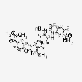 CCCCN(C(=O)Nc1cc(C(N)=O)c(F)cc1F)C1CCN(Cc2ccc(Oc3ccc(C(=O)N(C)C)cc3)nc2C)CC1